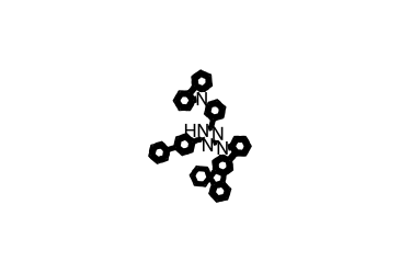 c1ccc(-c2ccc(C3=NC(n4c5ccccc5c5cc6c(cc54)C4(CCCCC4)c4ccccc4-6)=NC(c4cccc(-n5c6ccccc6c6ccccc65)c4)N3)cc2)cc1